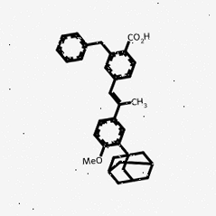 COc1ccc(/C(C)=C/c2ccc(C(=O)O)c(Cc3ccccc3)c2)cc1C12CC3CC(CC(C3)C1)C2